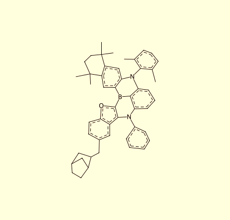 Cc1cccc(C)c1N1c2cc3c(cc2B2c4oc5ccc(CC6CC7CCC6C7)cc5c4N(c4ccccc4)c4cccc1c42)C(C)(C)CCC3(C)C